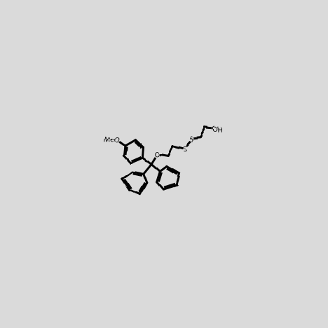 COc1ccc(C(OCCSSCCO)(c2ccccc2)c2ccccc2)cc1